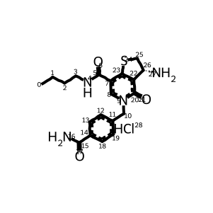 CCCCNC(=O)c1cn(Cc2ccc(C(N)=O)cc2)c(=O)c2c1SC[C@@H]2N.Cl